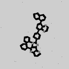 c1ccc(-c2nc3cccnc3c3nc(-c4ccc(-c5ccc(-c6cccc7ccccc67)c6nccnc56)cc4)n(-c4ccccc4)c23)cc1